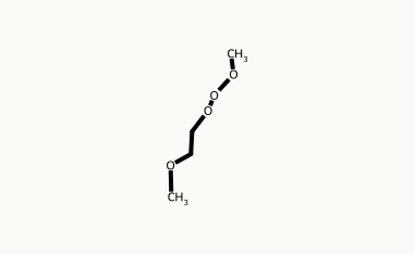 COCCOOOC